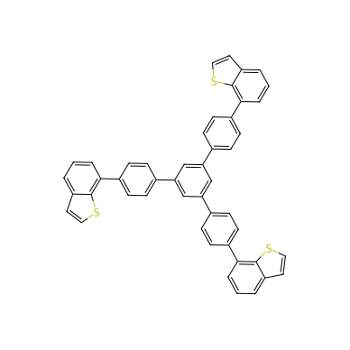 c1cc(-c2ccc(-c3cc(-c4ccc(-c5cccc6ccsc56)cc4)cc(-c4ccc(-c5cccc6ccsc56)cc4)c3)cc2)c2sccc2c1